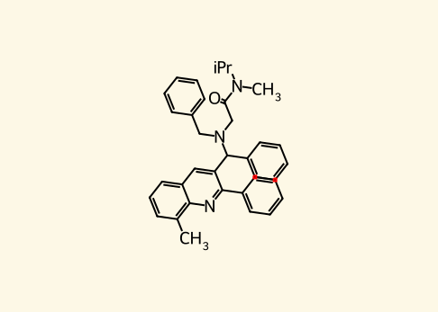 Cc1cccc2cc(C(c3ccccc3)N(CC(=O)N(C)C(C)C)Cc3ccccc3)c(-c3ccccc3)nc12